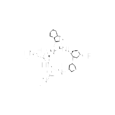 CN1C(=O)[C@H](CCCCN)NC(=O)[C@H](CCCN)NCc2cccc(c2)-c2cc(C(F)(F)F)ccc2CNC(=O)[C@@H]1Cc1c[nH]c2ccccc12